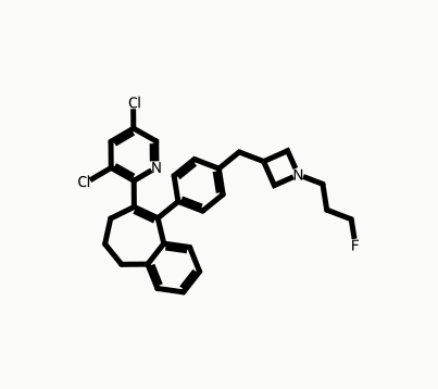 FCCCN1CC(Cc2ccc(C3=C(c4ncc(Cl)cc4Cl)CCCc4ccccc43)cc2)C1